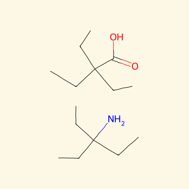 CCC(CC)(CC)C(=O)O.CCC(N)(CC)CC